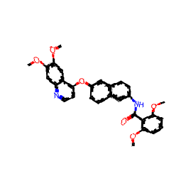 COc1cc2nccc(Oc3ccc4cc(NC(=O)c5c(OC)cccc5OC)ccc4c3)c2cc1OC